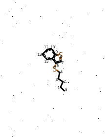 CCCCCSc1csc2ccccc12